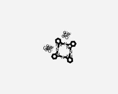 [Cu+2].[O-][Cl+3]([O-])([O-])[O-].[O-][Cl+3]([O-])([O-])[O-].c1ccc2c(c1)-c1nc-2nc2[nH]c(nc3nc(nc4[nH]c(n1)c1ccccc41)-c1ccccc1-3)c1ccccc21